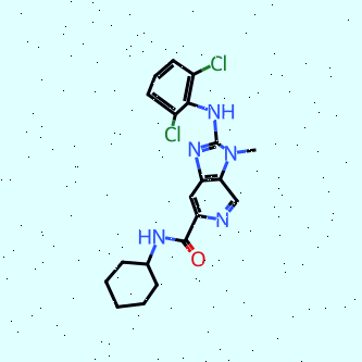 Cn1c(Nc2c(Cl)cccc2Cl)nc2cc(C(=O)NC3CCCCC3)ncc21